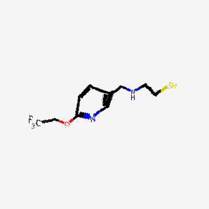 FC(F)(F)COc1ccc(CNCCS)cn1